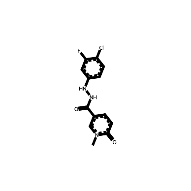 Cn1cc(C(=O)NNc2ccc(Cl)c(F)c2)ccc1=O